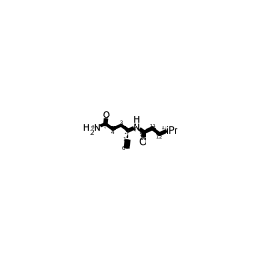 C#C[C@H](CCC(N)=O)NC(=O)CCC(C)C